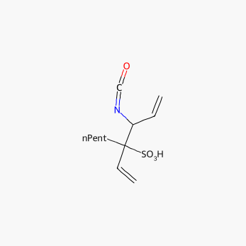 C=CC(N=C=O)C(C=C)(CCCCC)S(=O)(=O)O